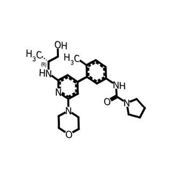 Cc1ccc(NC(=O)N2CCCC2)cc1-c1cc(N[C@H](C)CO)nc(N2CCOCC2)c1